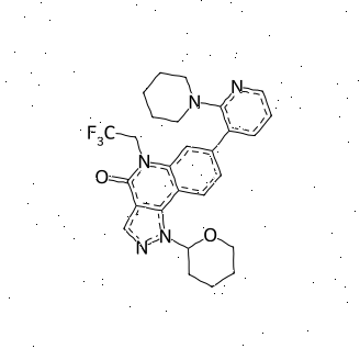 O=c1c2cnn(C3CCCCO3)c2c2ccc(-c3cccnc3N3CCCCC3)cc2n1CC(F)(F)F